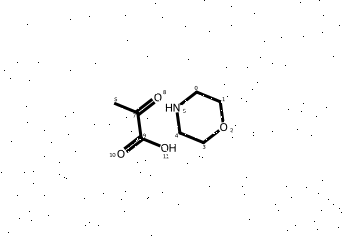 C1COCCN1.CC(=O)C(=O)O